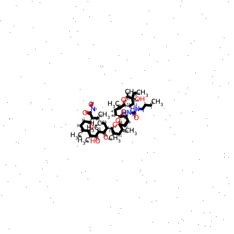 CCCCNC(=O)NC1C=C[C@]2(O[C@H](C(CC)C(=O)[C@@H](C)[C@@H](O)[C@H](C)[C@@H]3O[C@@H](C(CC)C(=O)N=O)CC[C@@H]3C)[C@@H](C)C[C@H]2C)O[C@@]12CC[C@@](C)([C@H]1CC[C@](O)(CC)[C@H](C)O1)O2